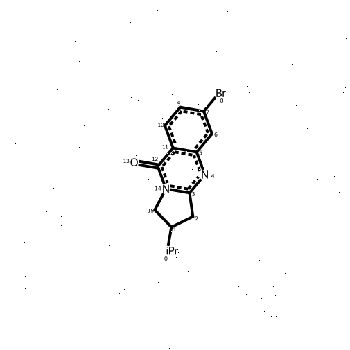 CC(C)C1Cc2nc3cc(Br)ccc3c(=O)n2C1